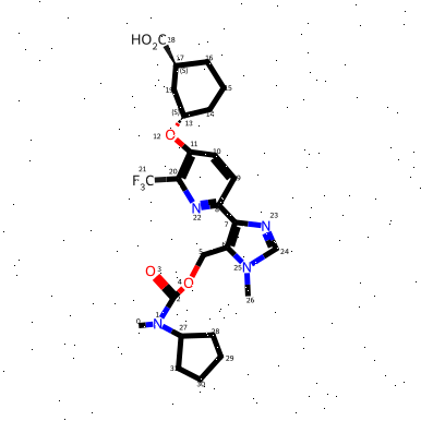 CN(C(=O)OCc1c(-c2ccc(O[C@H]3CCC[C@H](C(=O)O)C3)c(C(F)(F)F)n2)ncn1C)C1CCCC1